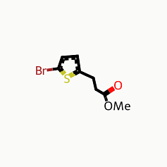 COC(=O)CCc1ccc(Br)s1